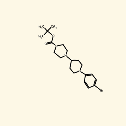 CC(C)(C)OC(=O)N1CCN(C2CCN(c3ccc(Br)cc3)CC2)CC1